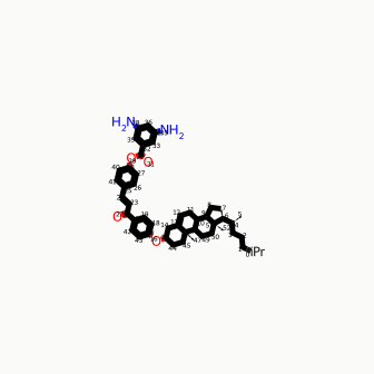 CC(C)CCC[C@@H](C)[C@H]1CCC2C3CC=C4CC(Oc5ccc(C(=O)C=Cc6ccc(OC(=O)c7cc(N)cc(N)c7)cc6)cc5)CC[C@]4(C)C3CC[C@@]21C